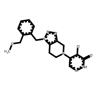 COCc1ccccc1Cn1nnc2c1CCN(c1cn[nH]c(=O)c1Cl)C2